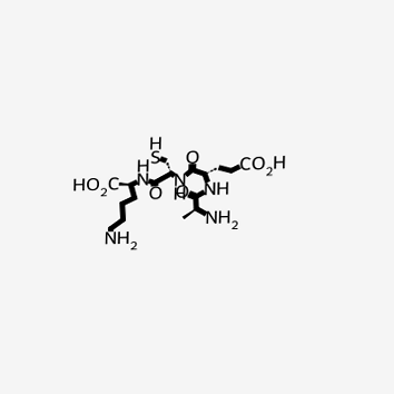 C[C@H](N)C(=O)N[C@@H](CCC(=O)O)C(=O)N[C@@H](CS)C(=O)N[C@@H](CCCCN)C(=O)O